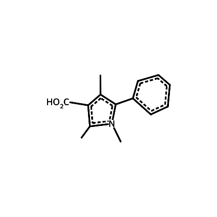 Cc1c(C(=O)O)c(C)n(C)c1-c1ccccc1